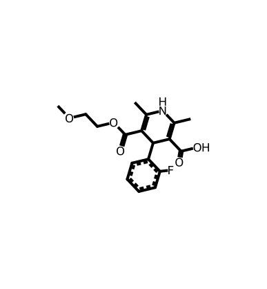 COCCOC(=O)C1=C(C)NC(C)=C(C(=O)O)C1c1ccccc1F